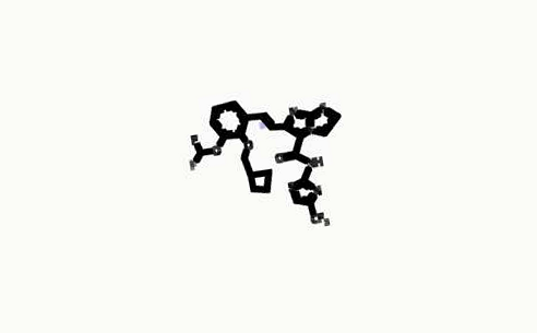 O=C(Nc1nc(C(F)(F)F)cs1)c1c(/C=C/c2cccc(OC(F)F)c2OCC2CCC2)nc2sccn12